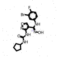 O=C(Nc1nocc1/C(=N/O)Nc1ccc(F)c(Br)c1)NC1CCCC1